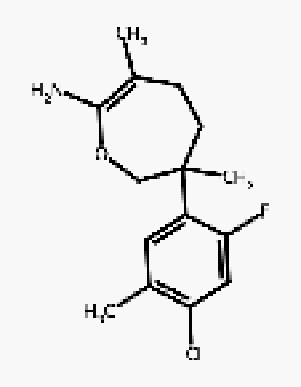 CC1=C(N)OCC(C)(c2cc(C)c(Cl)cc2F)CC1